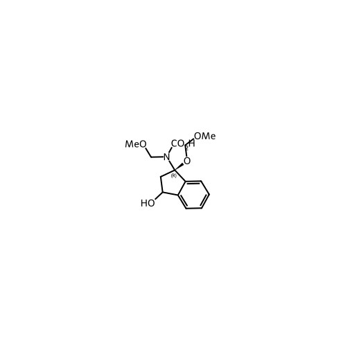 COCO[C@]1(N(COC)C(=O)O)CC(O)c2ccccc21